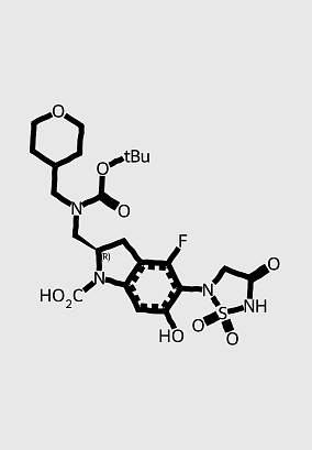 CC(C)(C)OC(=O)N(CC1CCOCC1)C[C@H]1Cc2c(cc(O)c(N3CC(=O)NS3(=O)=O)c2F)N1C(=O)O